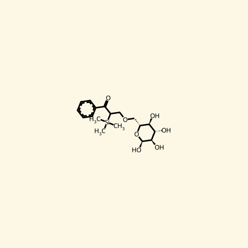 C[Si](C)(C)C(COC[C@H]1O[C@H](O)[C@H](O)[C@@H](O)[C@@H]1O)C(=O)c1ccccc1